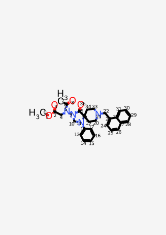 COC(=O)CN(C(C)=O)N1CN(c2ccccc2)C2(CCN(Cc3cccc4ccccc34)CC2)C1=O